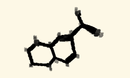 O=C(Cl)C1=CC2OCCOC2C=C1